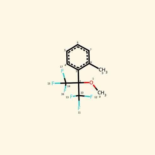 COC(c1ccccc1C)(C(F)(F)F)C(F)(F)F